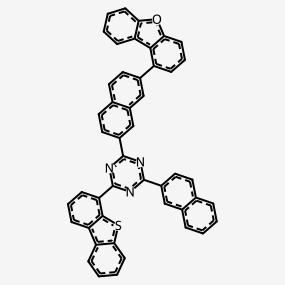 c1ccc2cc(-c3nc(-c4ccc5ccc(-c6cccc7oc8ccccc8c67)cc5c4)nc(-c4cccc5c4sc4ccccc45)n3)ccc2c1